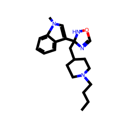 CCCCN1CCC(CC2(c3cn(C)c4ccccc34)N=CON2)CC1